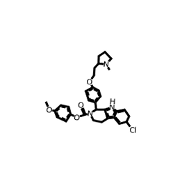 COc1ccc(OC(=O)N2CCc3c([nH]c4c3=CC(Cl)CC=4)C2c2ccc(OCCC3CCCN3C)cc2)cc1